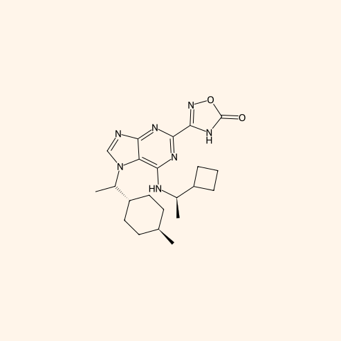 CC([C@H]1CC[C@H](C)CC1)n1cnc2nc(-c3noc(=O)[nH]3)nc(N[C@H](C)C3CCC3)c21